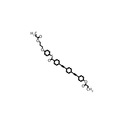 C=CC(=O)OCCCOc1ccc(SC(=O)c2ccc(C#Cc3ccc(C#Cc4ccc(OC(=O)C=C)cc4)cc3)cc2)cc1